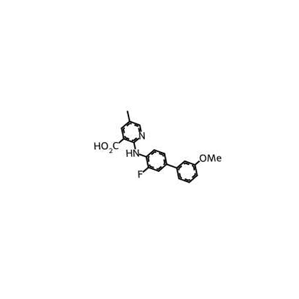 COc1cccc(-c2ccc(Nc3ncc(C)cc3C(=O)O)c(F)c2)c1